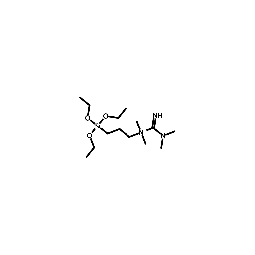 CCO[Si](CCC[N+](C)(C)C(=N)N(C)C)(OCC)OCC